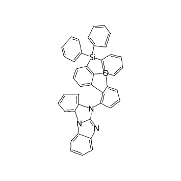 c1ccc([Si](c2ccccc2)(c2ccccc2)c2cccc3c2oc2cccc(-n4c5ccccc5n5c6ccccc6nc45)c23)cc1